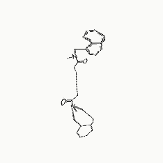 CN(Cc1cccc2ccccc12)C(=O)CCCCC(=O)N1CCC2CCCCC2C1